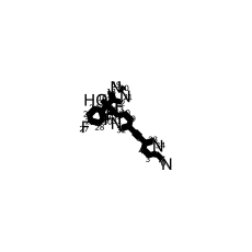 N#Cc1ccc(C#Cc2ccc(C(F)(F)C(O)(c3cncnc3)c3ccc(F)cc3F)nc2)cn1